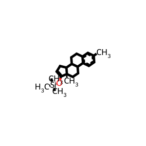 Cc1ccc2c(c1)CCC1C2CC[C@]2(C)C(O[Si](C)(C)C)=CCC12